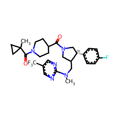 CN(CC1CN(C(=O)C2CCN(C(=O)C3(C)CC3)CC2)C[C@@H]1c1ccc(F)cc1)c1ncc(C(F)(F)F)cn1